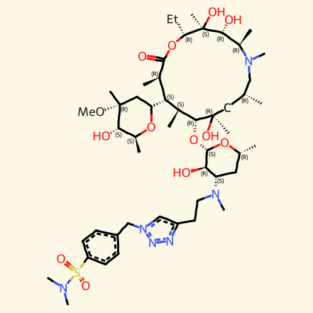 CC[C@H]1OC(=O)[C@H](C)[C@@H](C2C[C@@](C)(OC)[C@@H](O)[C@H](C)O2)[C@H](C)[C@@H](O[C@@H]2O[C@H](C)C[C@H](N(C)CCc3cn(Cc4ccc(S(=O)(=O)N(C)C)cc4)nn3)[C@H]2O)[C@](C)(O)C[C@@H](C)CN(C)[C@H](C)[C@@H](O)[C@]1(C)O